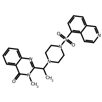 CC(c1nc2ccccc2c(=O)n1C)N1CCN(S(=O)(=O)c2cccc3cnccc23)CC1